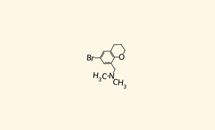 CN(C)Cc1cc(Br)cc2c1OCCC2